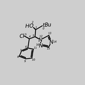 CC(C)(C)C(O)C(C(Cl)c1ccccc1)n1cncn1